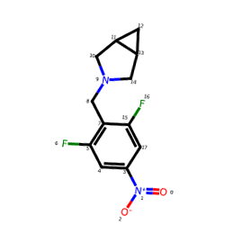 O=[N+]([O-])c1cc(F)c(CN2CC3CC3C2)c(F)c1